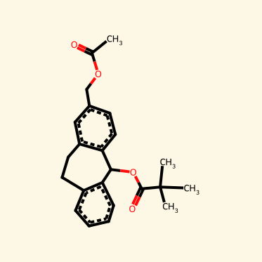 CC(=O)OCc1ccc2c(c1)CCc1ccccc1C2OC(=O)C(C)(C)C